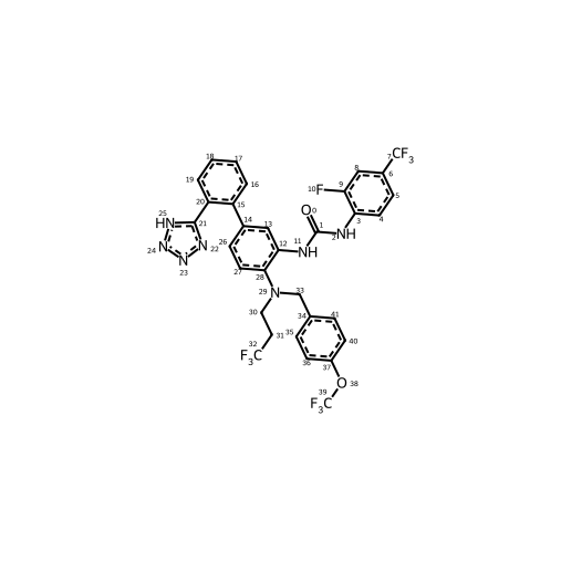 O=C(Nc1ccc(C(F)(F)F)cc1F)Nc1cc(-c2ccccc2-c2nnn[nH]2)ccc1N(CCC(F)(F)F)Cc1ccc(OC(F)(F)F)cc1